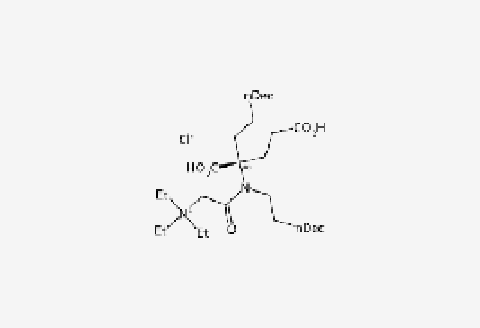 CCCCCCCCCCCCN(C(=O)C[N+](CC)(CC)CC)[C@](CCCCCCCCCCCC)(CCC(=O)O)C(=O)O.[Cl-]